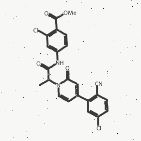 COC(=O)c1ccc(NC(=O)C(C)n2ccc(-c3cc(Cl)ccc3C#N)cc2=O)cc1Cl